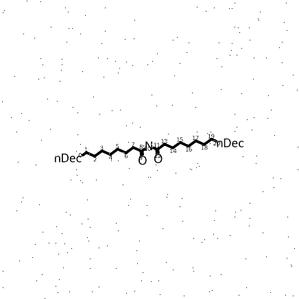 CCCCCCCCCCCCCCCCCC(=O)[N]C(=O)CCCCCCCCCCCCCCCCC